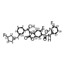 C[C@H](c1cccc(CN2CCC(F)C2)c1)n1c(=O)oc2cc(S(=O)(=O)Nc3cccc(F)n3)c(F)cc21